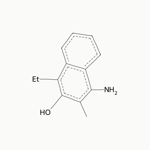 CCc1c(O)c(C)c(N)c2ccccc12